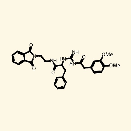 COc1ccc(CC(=O)NC(=N)NC(Cc2ccccc2)C(=O)NCCN2C(=O)c3ccccc3C2=O)cc1OC